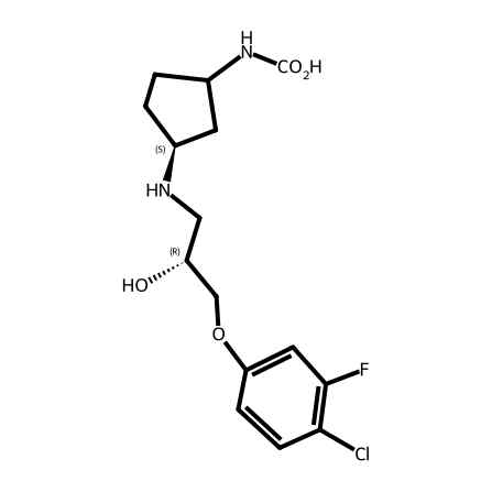 O=C(O)NC1CC[C@H](NC[C@@H](O)COc2ccc(Cl)c(F)c2)C1